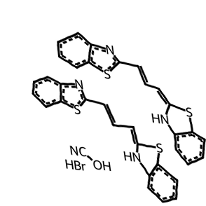 Br.C(=Cc1nc2ccccc2s1)C=C1Nc2ccccc2S1.C(=Cc1nc2ccccc2s1)C=C1Nc2ccccc2S1.N#CO